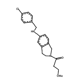 COCCC(=O)N1CCc2cc(NCc3ccc(Cl)cc3)ccc2C1